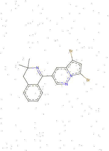 CC1(C)Cc2ccccc2C(c2cnn3c(Br)cc(Br)c3c2)=N1